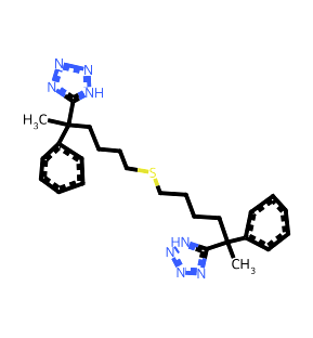 CC(CCCCSCCCCC(C)(c1ccccc1)c1nnn[nH]1)(c1ccccc1)c1nnn[nH]1